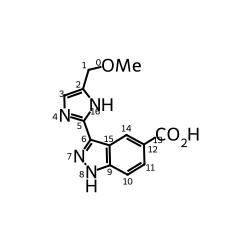 COCc1cnc(-c2n[nH]c3ccc(C(=O)O)cc23)[nH]1